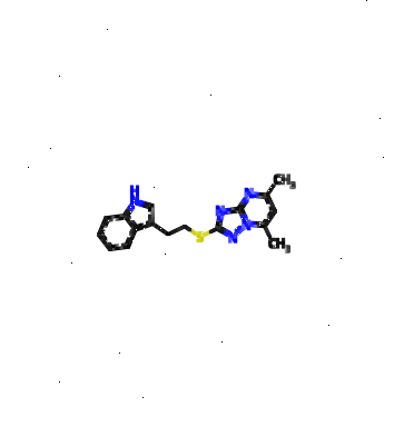 Cc1cc(C)n2nc(SCCc3c[nH]c4ccccc34)nc2n1